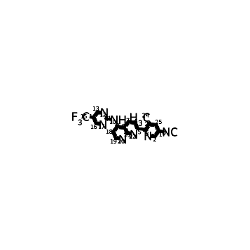 [C-]#[N+]c1cnc(-c2ccc3c(Nc4ncc(C(F)(F)F)cn4)ccnc3n2)c(C)c1